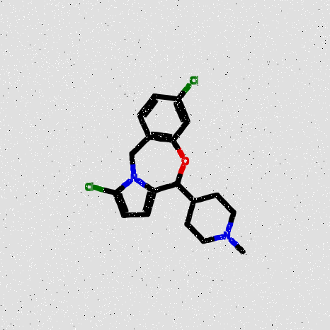 CN1CCC(C2Oc3cc(Cl)ccc3Cn3c(Cl)ccc32)CC1